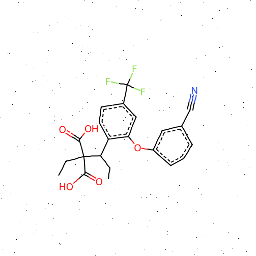 CCC(c1ccc(C(F)(F)F)cc1Oc1cccc(C#N)c1)C(CC)(C(=O)O)C(=O)O